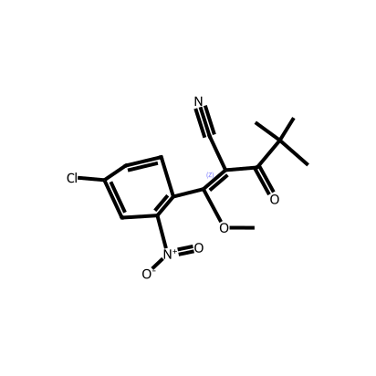 CO/C(=C(/C#N)C(=O)C(C)(C)C)c1ccc(Cl)cc1[N+](=O)[O-]